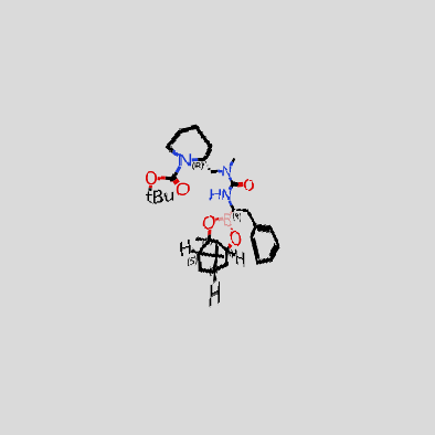 CN(C[C@H]1CCCCN1C(=O)OC(C)(C)C)C(=O)N[C@@H](Cc1ccccc1)B1O[C@@H]2C[C@@H]3C[C@@H](C3(C)C)[C@]2(C)O1